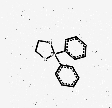 c1cc[c]([Sn]2([c]3ccccc3)[O]CC[O]2)cc1